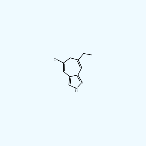 CCC1=Cc2n[nH]cc2C=C(Cl)C1